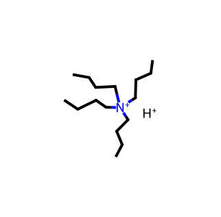 CCCC[N+](CCCC)(CCCC)CCCC.[H+]